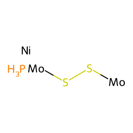 P.[Mo][S][S][Mo].[Ni]